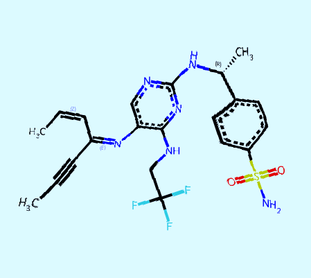 CC#CC(/C=C\C)=N/c1cnc(N[C@H](C)c2ccc(S(N)(=O)=O)cc2)nc1NCC(F)(F)F